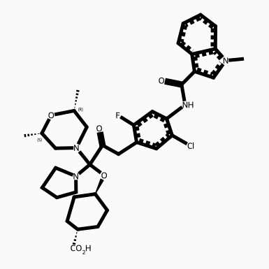 C[C@@H]1CN(C(O[C@H]2CC[C@H](C(=O)O)CC2)(C(=O)Cc2cc(Cl)c(NC(=O)c3cn(C)c4ccccc34)cc2F)N2CCCC2)C[C@H](C)O1